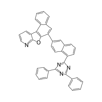 c1ccc(-c2nc(-c3ccccc3)nc(-c3cccc4cc(-c5cc6ccccc6c6c5oc5ncccc56)ccc34)n2)cc1